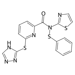 O=C(c1cccc(Sc2nnc[nH]2)n1)N(Sc1ccccc1)c1nccs1